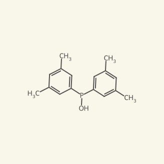 Cc1cc(C)cc(P(O)c2cc(C)cc(C)c2)c1